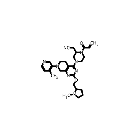 C=CC(=O)N1CCN(c2nc(OCC3CCCN3C)nc3c2CCN(c2cnccc2C(F)(F)F)C3)CC1CC#N